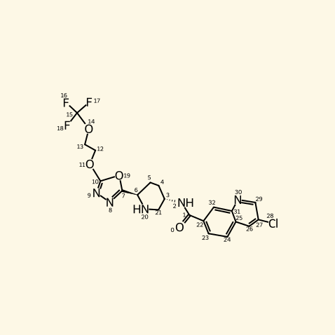 O=C(N[C@H]1CC[C@H](c2nnc(OCCOC(F)(F)F)o2)NC1)c1ccc2cc(Cl)cnc2c1